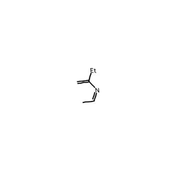 C=C(CC)/N=C\C